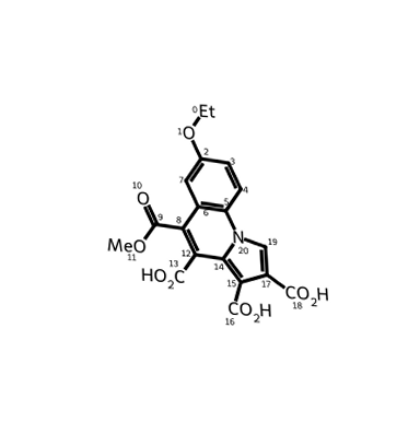 CCOc1ccc2c(c1)c(C(=O)OC)c(C(=O)O)c1c(C(=O)O)c(C(=O)O)cn12